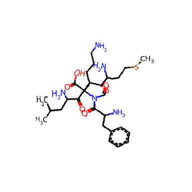 CSCCC(N)C(=O)C(CCCN)C(C(=O)O)(C(=O)C(N)CC(C)C)N(C=O)C(=O)C(N)Cc1ccccc1